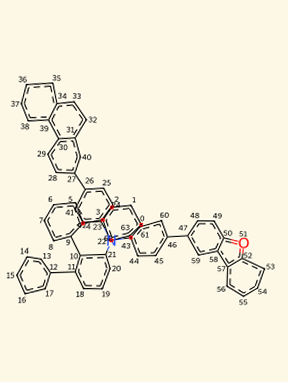 c1ccc(-c2ccccc2-c2c(-c3ccccc3)cccc2N(c2ccc(-c3ccc4c(ccc5ccccc54)c3)cc2)c2ccc(-c3ccc4oc5ccccc5c4c3)cc2)cc1